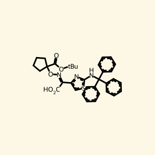 CC(C)(C)OC(=O)C1(ON=C(C(=O)O)c2csc(NC(c3ccccc3)(c3ccccc3)c3ccccc3)n2)CCCC1